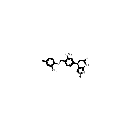 COc1cc(C2CC(=O)Nc3n[nH]cc32)ccc1COc1ccc(C)cc1C(F)(F)F